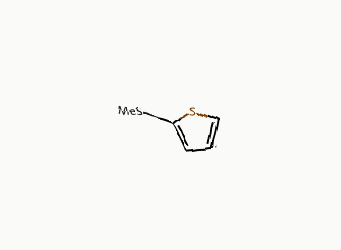 CSc1c[c]cs1